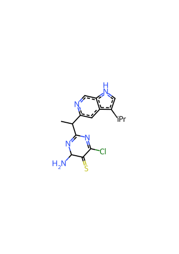 CC(C)c1c[nH]c2cnc(C(C)C3=NC(N)C(=S)C(Cl)=N3)cc12